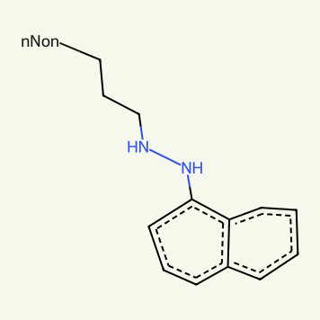 CCCCCCCCCCCCNNc1cccc2ccccc12